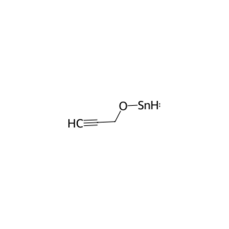 C#CC[O][SnH]